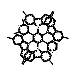 Cc1ccc2c(c1)c1cc(C)ccc1n2-c1c(-c2cccnc2)c(-n2c3ccc(C)cc3c3cc(C)ccc32)c(-n2c3ccc(C)cc3c3cc(C)ccc32)c(-c2cc(C)nc(C)c2)c1-n1c2ccc(C)cc2c2cc(C)ccc21